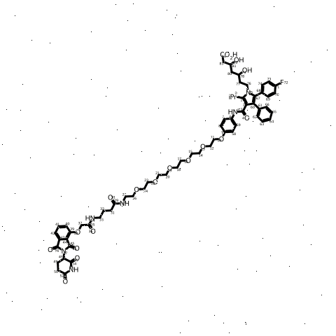 CC(C)c1c(C(=O)Nc2ccc(OCCOCCOCCOCCOCCOCCNC(=O)CCCNC(=O)COc3cccc4c3C(=O)N(C3CCC(=O)NC3=O)C4=O)cc2)c(-c2ccccc2)c(-c2ccc(F)cc2)n1CCC(O)CC(O)CC(=O)O